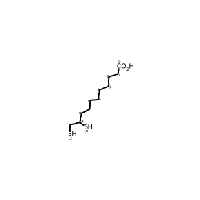 O=C(O)CCCCCCCCC(S)CS